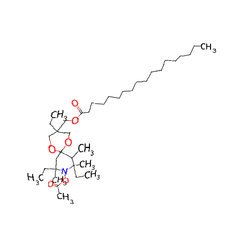 CCCCCCCCCCCCCCCCCC(=O)OCC1(CC)COC2(CC(C)(CC)N(OC(C)=O)C(C)(CC)C2C)OC1